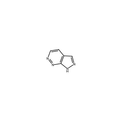 c1cc2cn[nH]c2nn1